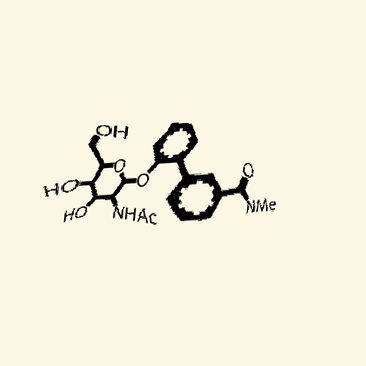 CNC(=O)c1cccc(-c2ccccc2OC2OC(CO)C(O)C(O)C2NC(C)=O)c1